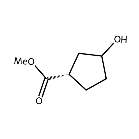 COC(=O)[C@H]1CCC(O)C1